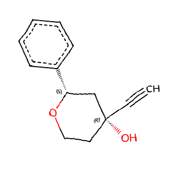 C#C[C@@]1(O)CCO[C@H](c2ccccc2)C1